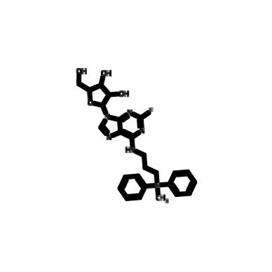 C[Si](CCCNc1nc(F)nc2c1ncn2C1OC(CO)C(O)C1O)(c1ccccc1)c1ccccc1